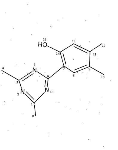 Cc1nc(C)nc(-c2cc(C)c(C)cc2O)n1